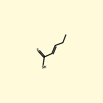 CCC=CC(=S)S